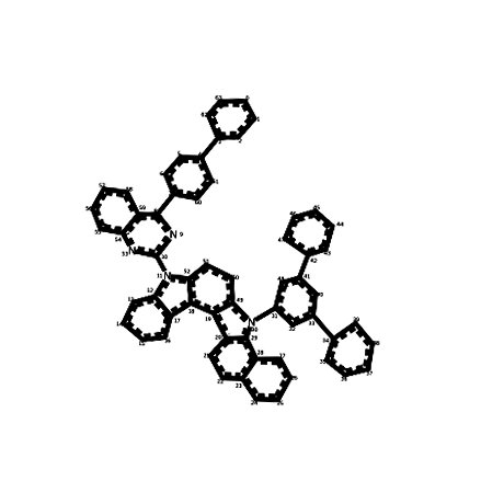 c1ccc(-c2ccc(-c3nc(-n4c5ccccc5c5c6c7ccc8ccccc8c7n(-c7cc(-c8ccccc8)cc(-c8ccccc8)c7)c6ccc54)nc4ccccc34)cc2)cc1